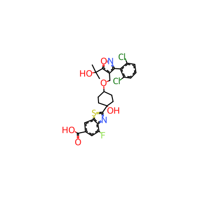 CC(C)(O)c1onc(-c2c(Cl)cccc2Cl)c1COC1CCC(O)(c2nc3c(F)cc(C(=O)O)cc3s2)CC1